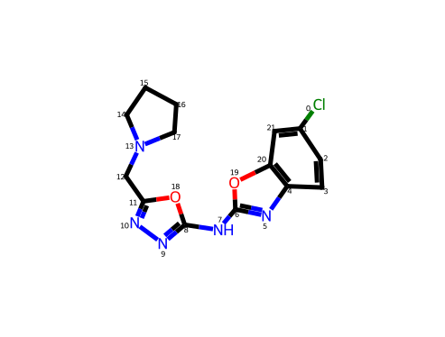 Clc1ccc2nc(Nc3nnc(CN4CCCC4)o3)oc2c1